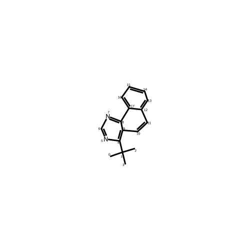 CC(C)(C)c1ncnc2c1ccc1ccccc12